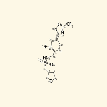 O=S(=O)(CC1CCOC1)NCc1ccc(-c2noc(C(F)(F)F)n2)cc1F